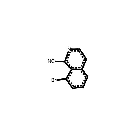 N#Cc1nccc2cccc(Br)c12